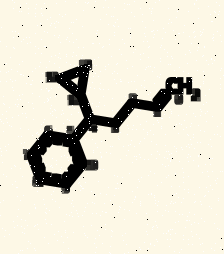 C=CCCC(c1cc[c]cc1)C1CC1